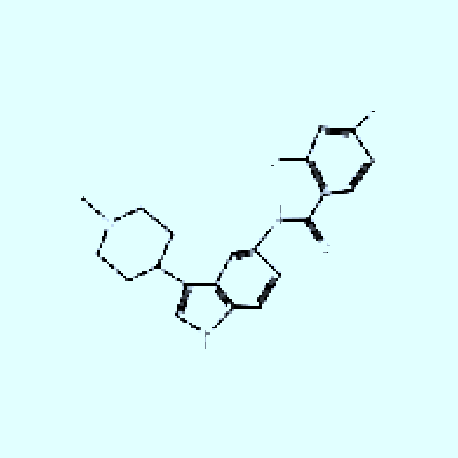 CN1CCC(c2c[nH]c3ccc(NC(=O)c4ccc(F)cc4Cl)cc23)CC1